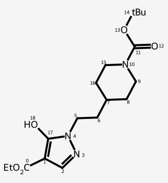 CCOC(=O)c1cnn(CCC2CCN(C(=O)OC(C)(C)C)CC2)c1O